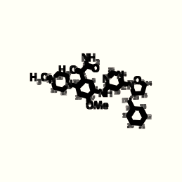 C=C(C(N)=O)c1cc(Nc2cc(N3OCC[C@@H]3Cc3ccccc3)ncn2)c(OC)cc1N1CCN(C)CC1